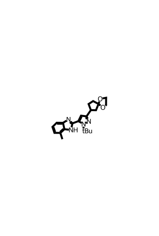 Cc1cccc2nc(-c3cc(C4CCC5(C4)OCCO5)nn3C(C)(C)C)[nH]c12